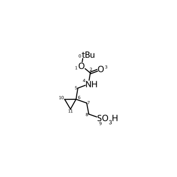 CC(C)(C)OC(=O)NCC1(CCS(=O)(=O)O)CC1